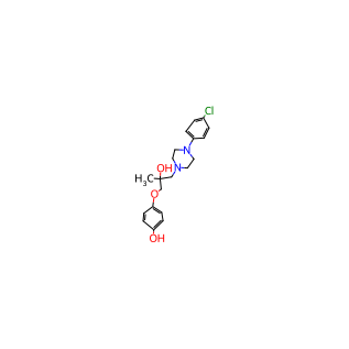 CC(O)(COc1ccc(O)cc1)CN1CCN(c2ccc(Cl)cc2)CC1